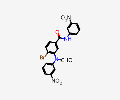 O=CN(c1cccc([N+](=O)[O-])c1)c1cc(C(=O)Nc2cccc([N+](=O)[O-])c2)ccc1Br